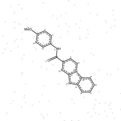 COc1ccc(NC(=O)c2ccn3c(n2)nc2ccccc23)cn1